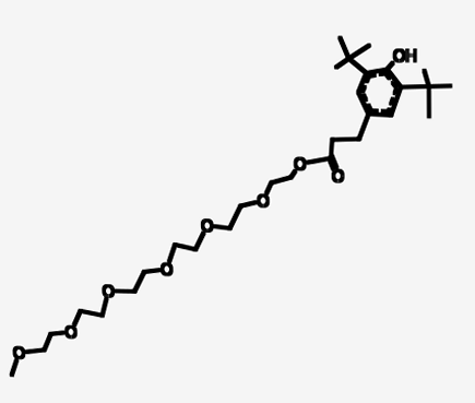 COCCOCCOCCOCCOCCOCCOC(=O)CCc1cc(C(C)(C)C)c(O)c(C(C)(C)C)c1